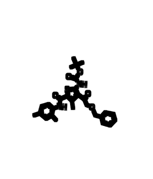 Cc1ccc(NC(=O)c2sc(NC(=O)OC(C)(C)C)c(C(=O)COCc3ccccc3)c2C)c(C)c1